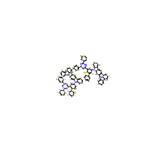 c1ccc(-c2nc(-c3ccc(-c4ccc5c6ccccc6n6c7cc8c(cc7c4c56)c4ccccc4n8-c4cc(-c5nc(-c6ccccc6)nc(-c6ccccc6)n5)c5c(c4)sc4ccccc45)cc3)nc(-c3cc(-n4c5ccccc5c5cc6c7cccc8c9ccccc9n(c6cc54)c87)cc4c3sc3ccccc34)n2)cc1